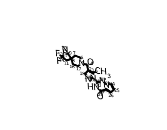 Cc1c(C(=O)N2CCC(C#N)(CC(F)(F)F)CC2)cnn1-c1nn2cccc2c(=O)[nH]1